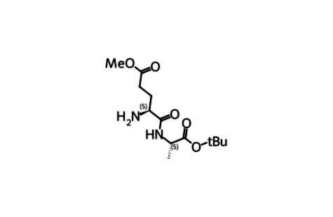 COC(=O)CC[C@H](N)C(=O)N[C@@H](C)C(=O)OC(C)(C)C